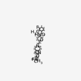 Cc1c(F)cccc1C(=O)NC1CCC(CCN2CCc3nc(OCC(C)(F)F)sc3CC2)OC1